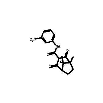 CC12CCC(C(=O)C(C(=O)Nc3cccc([N+](=O)[O-])c3)C1=O)C2(C)C